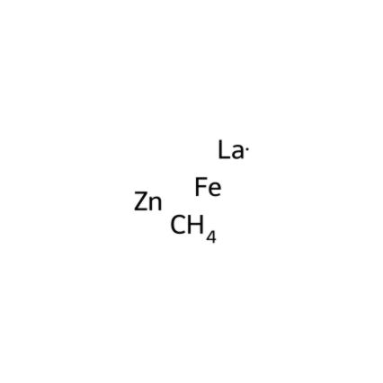 C.[Fe].[La].[Zn]